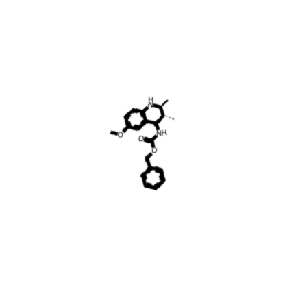 COc1ccc2c(c1)C(NC(=O)OCc1ccccc1)[C@@H](C)[C@H](C)N2